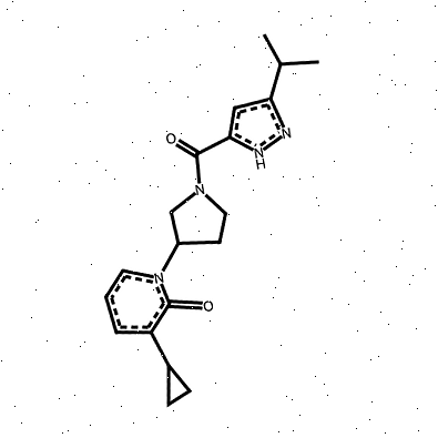 CC(C)c1cc(C(=O)N2CCC(n3cccc(C4CC4)c3=O)C2)[nH]n1